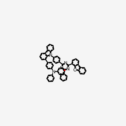 c1ccc(-c2nc(-c3ccc(-n4c5ccccc5c5cccc(-c6ccc(N(c7ccccc7)c7ccccc7)cc6)c54)cc3)nc(-c3cccc4c3oc3ccccc34)n2)cc1